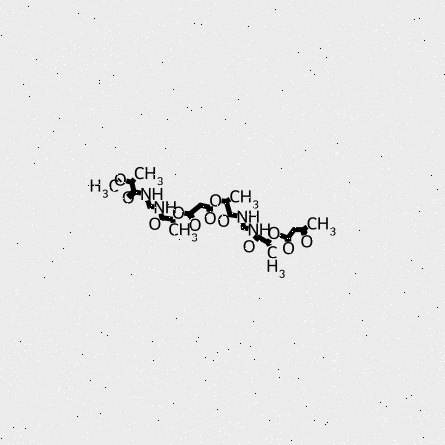 COC(C)C(=O)NCNC(=O)C(C)OC(=O)CC(=O)OC(C)C(=O)NCNC(=O)C(C)OC(=O)CC(C)=O